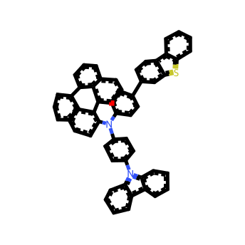 c1ccc(-c2cccc3cccc(-c4ccccc4N(c4ccc(-c5ccc6c(c5)sc5ccccc56)cc4)c4ccc(-n5c6ccccc6c6ccccc65)cc4)c23)cc1